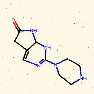 O=C1CC2=CN=C(N3CCNCC3)NC2N1